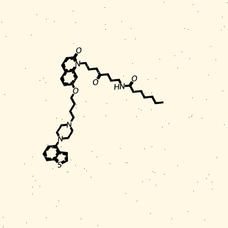 CCCCCCC(=O)NCCCC(=O)CCCn1c(=O)ccc2ccc(OCCCCN3CCN(c4cccc5sccc45)CC3)cc21